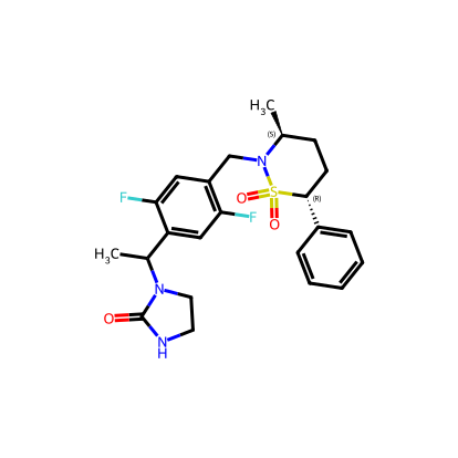 CC(c1cc(F)c(CN2[C@@H](C)CC[C@H](c3ccccc3)S2(=O)=O)cc1F)N1CCNC1=O